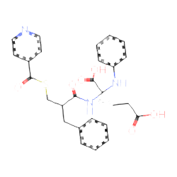 O=C(O)CC[C@@](NC(=O)C(CSC(=O)c1ccncc1)Cc1ccccc1)(Nc1ccccc1)C(=O)O